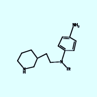 CCN(CCC1CCCNC1)c1ccc(N)cc1